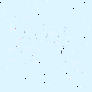 NC[C@H](O)[C@H](O)[C@H](O)C(=O)N[C@@H]1C[C@H](N)C(O[C@H]2O[C@H](CNCC(O)(CO)CO)CCC2N)C(O)C1O[C@H]1OC(CO)C(O)[C@H](N)C1O